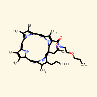 CCC1=C(C)C2/C=C3\N/C(=C(/CC(=O)OC)C4N/C(=C\c5[nH]c(c(C)c5CC)/C=C/1N2)C(C)=C4C(=O)NCCOCCOC(C)=O)C(CCC(=O)O)C3C